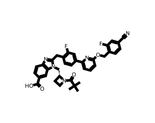 CC(C)(C)C(=O)N1CC[C@@H]1Cn1c(Cc2ccc(-c3cccc(OCc4ccc(C#N)cc4F)n3)cc2F)nc2ccc(C(=O)O)cc21